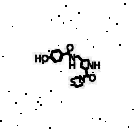 O=C(NCC1CNC(C(=O)N2CCSC2)C1)c1ccc(O)cc1